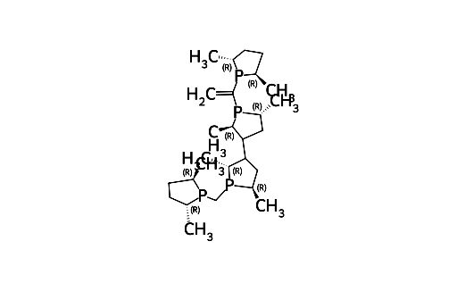 C=C(P1[C@H](C)CC[C@H]1C)P1[C@H](C)CC(C2C[C@@H](C)P(CP3[C@H](C)CC[C@H]3C)[C@@H]2C)[C@H]1C